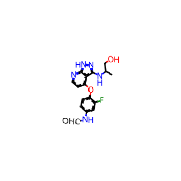 CC(CO)Nc1n[nH]c2nccc(Oc3ccc(NC=O)cc3F)c12